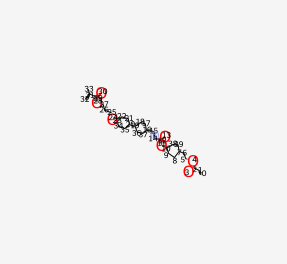 C=CC(=O)OCCC1CCC(OC(=O)/C=C/C2CCC(C3CCC(OCCCOC(=O)C(=C)C)CC3)CC2)CC1